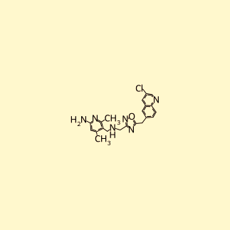 Cc1cc(N)nc(C)c1CNCc1noc(Cc2ccc3ncc(Cl)cc3c2)n1